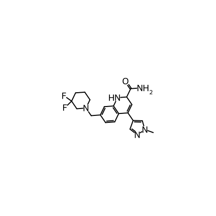 Cn1cc(C2=CC(C(N)=O)Nc3cc(CN4CCCC(F)(F)C4)ccc32)cn1